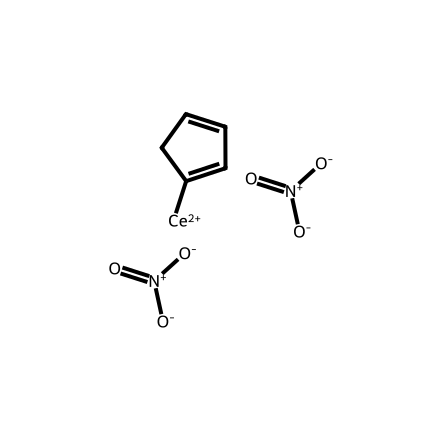 O=[N+]([O-])[O-].O=[N+]([O-])[O-].[Ce+2][C]1=CC=CC1